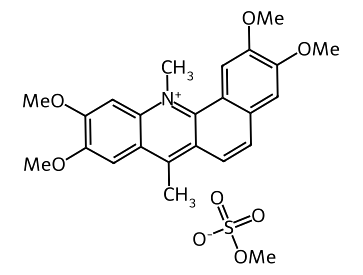 COS(=O)(=O)[O-].COc1cc2ccc3c(C)c4cc(OC)c(OC)cc4[n+](C)c3c2cc1OC